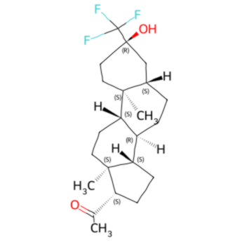 CC(=O)[C@H]1CC[C@H]2[C@@H]3CC[C@H]4C[C@@](O)(C(F)(F)F)CC[C@]4(C)[C@H]3CC[C@]12C